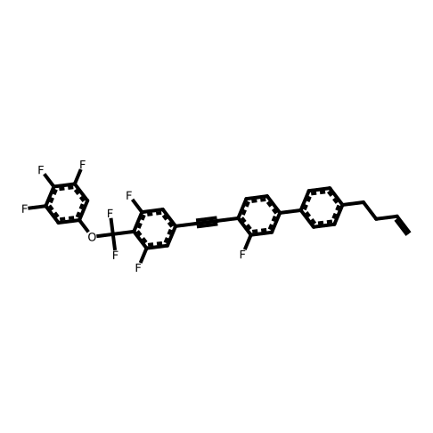 C=CCCc1ccc(-c2ccc(C#Cc3cc(F)c(C(F)(F)Oc4cc(F)c(F)c(F)c4)c(F)c3)c(F)c2)cc1